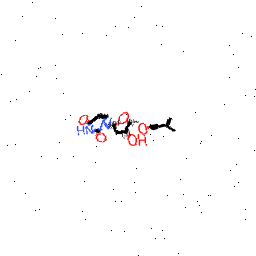 CC(C)C#COC[C@H]1O[C@@H](n2ccc(=O)[nH]c2=O)C[C@@H]1O